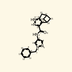 O=C(Nc1cnn(Cc2ccccc2)c1)c1n[nH]c2c1C1CC(C2)C1